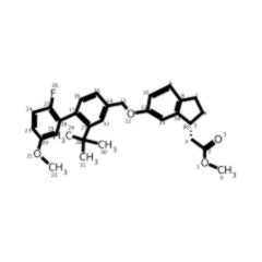 COC(=O)C[C@H]1CCc2ccc(OCc3ccc(-c4cc(OC)ccc4F)c(C(C)(C)C)c3)cc21